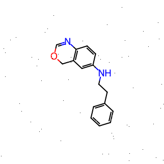 C1=Nc2ccc(NCCc3ccccc3)cc2CO1